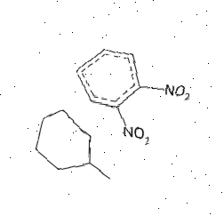 CC1CCCCC1.O=[N+]([O-])c1ccccc1[N+](=O)[O-]